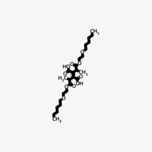 CCCCCCOCCOC(=O)C(C)/C(C(=O)O)=C(\C(=O)O)C(C)C(=O)OCCOCCCCCC